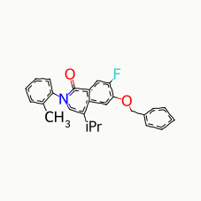 Cc1ccccc1-n1cc(C(C)C)c2cc(OCc3ccccc3)c(F)cc2c1=O